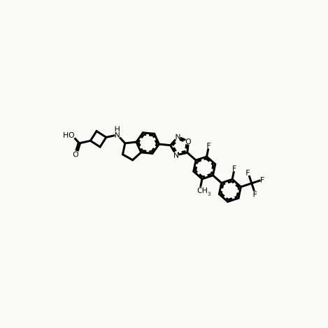 Cc1cc(-c2nc(-c3ccc4c(c3)CCC4NC3CC(C(=O)O)C3)no2)c(F)cc1-c1cccc(C(F)(F)F)c1F